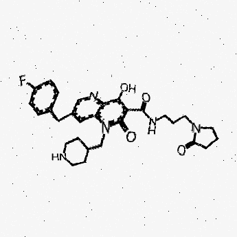 O=C(NCCCN1CCCC1=O)c1c(O)c2ncc(Cc3ccc(F)cc3)cc2n(CC2CCNCC2)c1=O